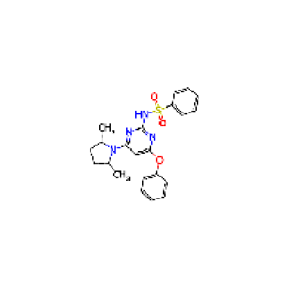 CC1CCC(C)N1c1cc(Oc2ccccc2)nc(NS(=O)(=O)c2ccccc2)n1